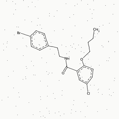 CCCCOc1ccc(Cl)cc1C(=O)NCCc1ccc(Br)cc1